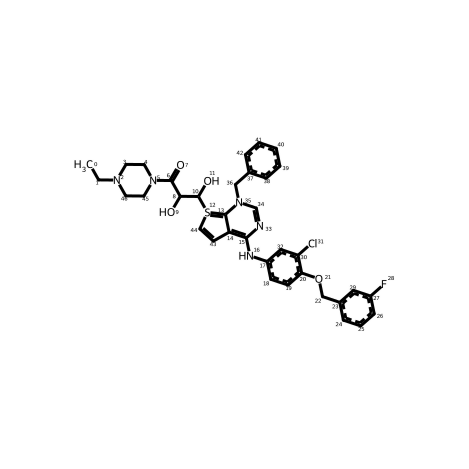 CCN1CCN(C(=O)C(O)C(O)S2=C3C(=C(Nc4ccc(OCc5cccc(F)c5)c(Cl)c4)N=CN3Cc3ccccc3)C=C2)CC1